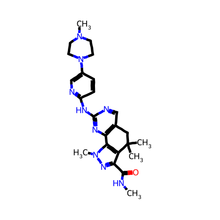 CNC(=O)c1nn(C)c2c1C(C)(C)Cc1cnc(Nc3ccc(N4CCN(C)CC4)cn3)nc1-2